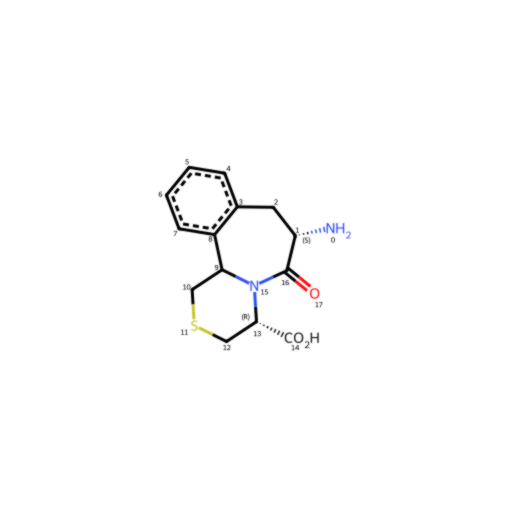 N[C@H]1Cc2ccccc2C2CSC[C@@H](C(=O)O)N2C1=O